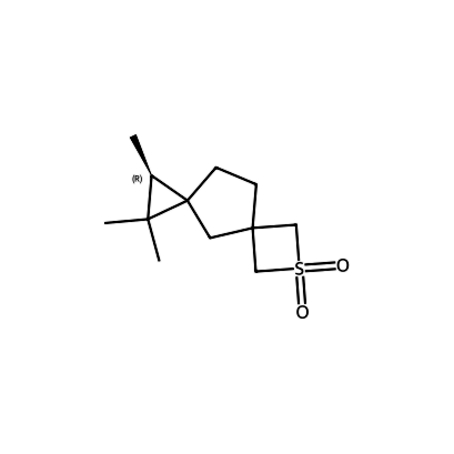 C[C@@H]1C(C)(C)C12CCC1(C2)CS(=O)(=O)C1